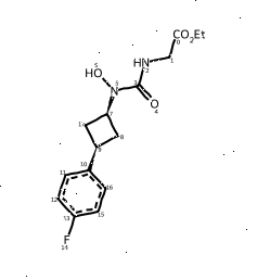 CCOC(=O)CNC(=O)N(O)[C@H]1C[C@@H](c2ccc(F)cc2)C1